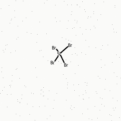 Br[Si](Br)(Br)Br